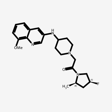 COc1cccc2cc(NC3CCN(CC(=O)N4C[C@@H](F)C[C@H]4C)CC3)cnc12